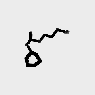 CCCOCCOC(=O)Oc1ccccc1